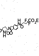 CCOC(=O)C(F)(F)CCC(=O)Nc1ccc2c(c1)CN(C1CCC(=O)NC1=O)C2=O